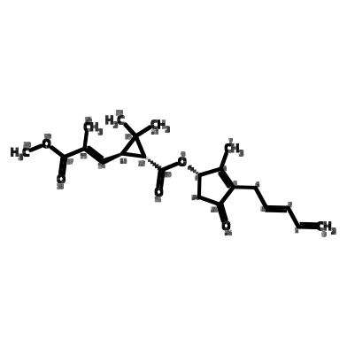 C=C/C=C/CC1=C(C)[C@@H](OC(=O)[C@@H]2[C@@H](/C=C(\C)C(=O)OC)C2(C)C)CC1=O